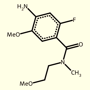 COCCN(C)C(=O)c1cc(OC)c(N)cc1F